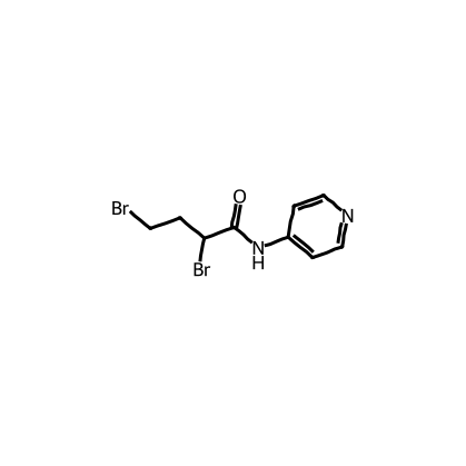 O=C(Nc1ccncc1)C(Br)CCBr